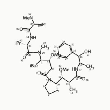 CCC(C)C([C@@H](CC(=O)N1CCC[C@H]1[C@H](OC)[C@@H](C)C(=O)NC(C)C(O)c1ccccc1)OC)N(C)C(=O)[C@@H](NC(=O)C(NC)C(C)C)C(C)C